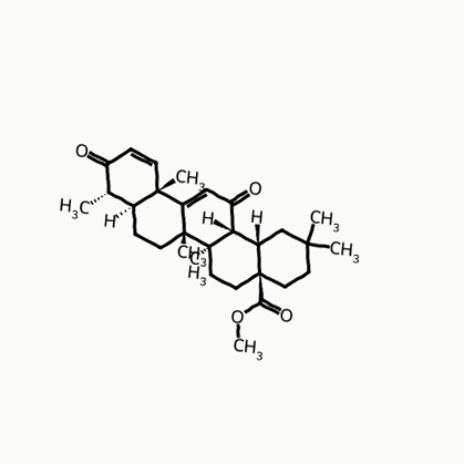 COC(=O)[C@]12CCC(C)(C)C[C@H]1[C@H]1C(=O)C=C3[C@@]4(C)C=CC(=O)[C@@H](C)[C@@H]4CC[C@@]3(C)[C@]1(C)CC2